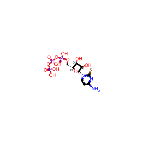 Nc1ccn([C@@H]2O[C@H](COP(=O)(O)OP(=O)(O)OP(=O)(O)O)[C@@H](O)[C@H]2O)c(=S)n1